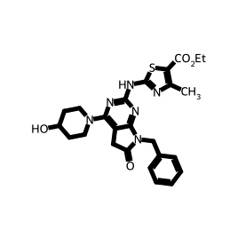 CCOC(=O)c1sc(Nc2nc(N3CCC(O)CC3)c3c(n2)N(Cc2ccccc2)C(=O)C3)nc1C